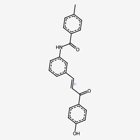 Cc1ccc(C(=O)Nc2cccc(/C=C/C(=O)c3ccc(O)cc3)c2)cc1